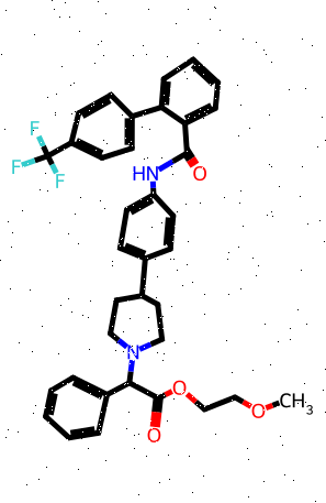 COCCOC(=O)C(c1ccccc1)N1CCC(c2ccc(NC(=O)c3ccccc3-c3ccc(C(F)(F)F)cc3)cc2)CC1